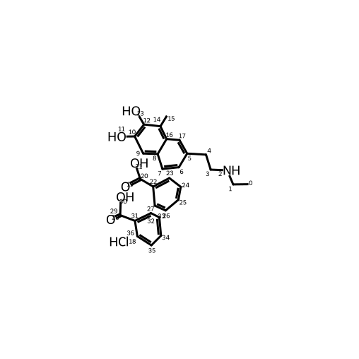 CCNCCc1ccc2cc(O)c(O)c(C)c2c1.Cl.O=C(O)c1ccccc1.O=C(O)c1ccccc1